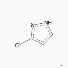 Clc1cc[nH]n1